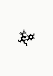 CCCc1c(CC)cc(C(=O)NC)c(=O)n1Cc1ccc(F)cc1